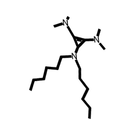 CCCCCCN(CCCCCC)C1C(N(C)C)=C1N(C)C